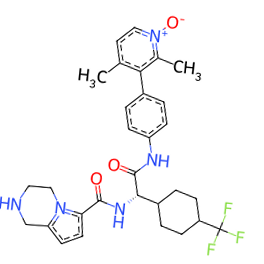 Cc1cc[n+]([O-])c(C)c1-c1ccc(NC(=O)[C@@H](NC(=O)c2ccc3n2CCNC3)C2CCC(C(F)(F)F)CC2)cc1